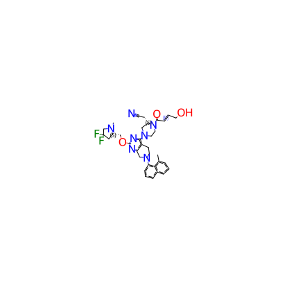 Cc1cccc2cccc(N3CCc4c(nc(OC[C@@H]5CC(F)(F)CN5C)nc4N4CCN(C(=O)/C=C/CO)[C@@H](CC#N)C4)C3)c12